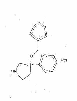 Cl.c1ccc(COC2(c3ccccc3)CCNC2)cc1